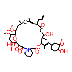 C=CCC1/C=C(\C)CC(C)CC(OC)C2OC(O)(C(C)CC2OC)C(O)C(=O)N2CCCCC2C(=O)OC(C(C)=CC2CCC(O)C(OC)C2)C(C)C(O)CC1=O